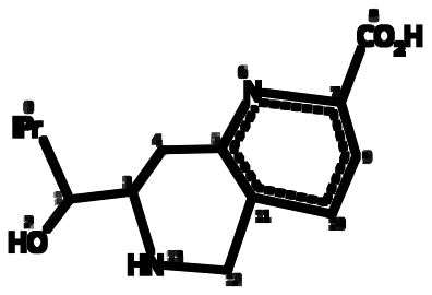 CC(C)C(O)C1Cc2nc(C(=O)O)ccc2CN1